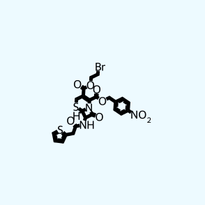 O=C(Cc1cccs1)NC1C(=O)N2C(C(=O)OCc3ccc([N+](=O)[O-])cc3)=C(C(=O)OCCBr)CS[C@@H]12